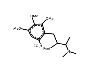 CCCCCC(Cc1c(C(=O)O)cc(OC)c(OC)c1OC)C(C)N(C)C